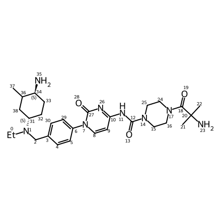 CCN(Cc1ccc(-n2ccc(NC(=O)N3CCN(C(=O)C(C)(C)N)CC3)nc2=O)cc1)[C@H]1CC[C@H](N)C(C)C1